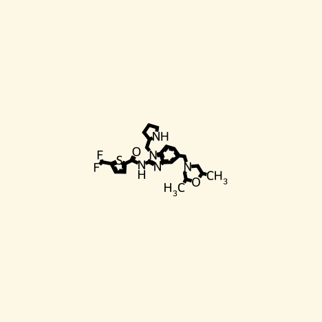 CC1CN(Cc2ccc3c(c2)nc(NC(=O)c2ccc(C(F)F)s2)n3CC2CCCN2)CC(C)O1